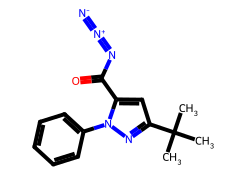 CC(C)(C)c1cc(C(=O)N=[N+]=[N-])n(-c2ccccc2)n1